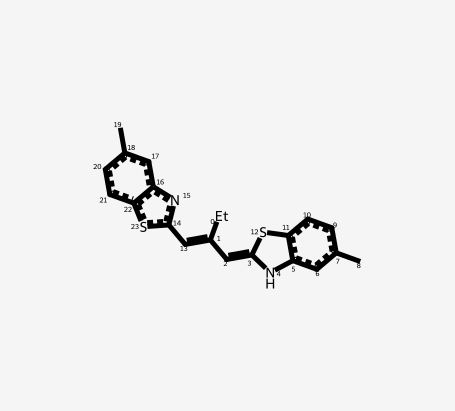 CCC(/C=C1/Nc2cc(C)ccc2S1)=C\c1nc2cc(C)ccc2s1